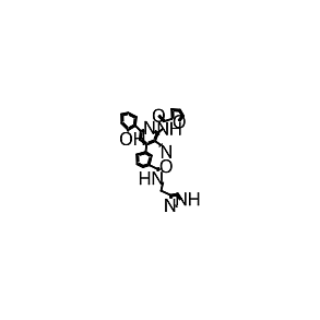 N#Cc1c(-c2cccc(C(=O)NCCc3c[nH]cn3)c2)cc(-c2ccccc2O)nc1NC(=O)c1ccco1